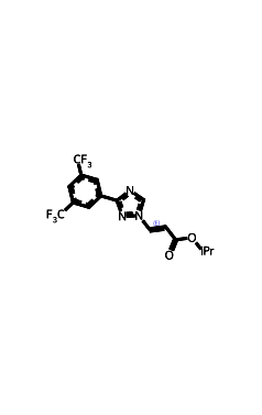 CC(C)OC(=O)/C=C/n1cnc(-c2cc(C(F)(F)F)cc(C(F)(F)F)c2)n1